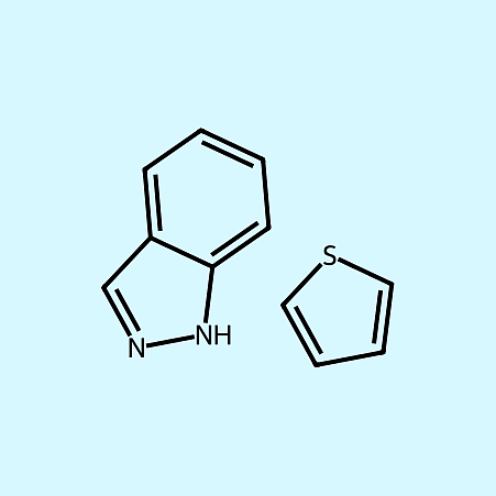 c1ccc2[nH]ncc2c1.c1ccsc1